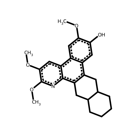 COc1cc2c(cc1O)c1c(c3nc(OC)c(OC)cc32)CC2CCCCC2C1